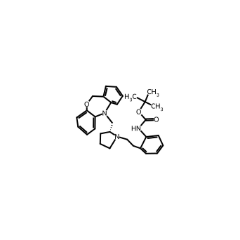 CC(C)(C)OC(=O)Nc1ccccc1CCN1CCC[C@@H]1CN1c2ccccc2COc2ccccc21